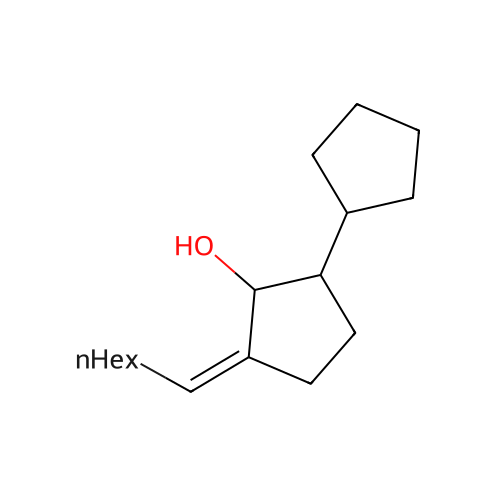 CCCCCCC=C1CCC(C2CCCC2)C1O